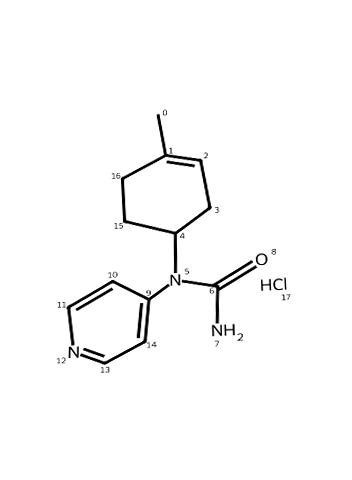 CC1=CCC(N(C(N)=O)c2ccncc2)CC1.Cl